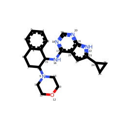 c1ccc2c(c1)CCC(N1CCOCC1)C2Nc1ncnc2[nH]c(C3CC3)cc12